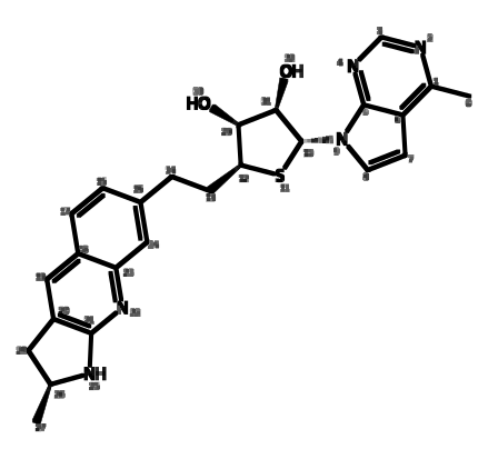 Cc1ncnc2c1ccn2[C@@H]1S[C@@H](CCc2ccc3cc4c(nc3c2)N[C@@H](C)C4)[C@@H](O)[C@H]1O